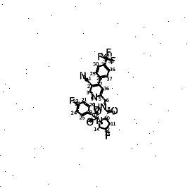 N#Cc1cnc(CNC(=O)[C@@H]2C[C@@H](F)CN2S(=O)(=O)c2ccc(F)cc2)cc1-c1ccc(C(F)(F)F)cc1